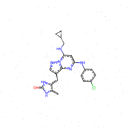 C=c1[nH]c(=O)[nH]/c1=C\c1cnn2c(NCC3CC3)cc(Nc3ccc(Cl)cc3)nc12